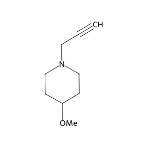 C#CCN1CCC(OC)CC1